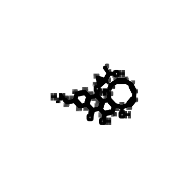 C[C@@H](O)C1([C@@H]2C#C/C=C\C#C[C@@H](O)c3cc(O)c4c(c3N2)C(=O)c2ccc(CN)cc2C4=O)CC1